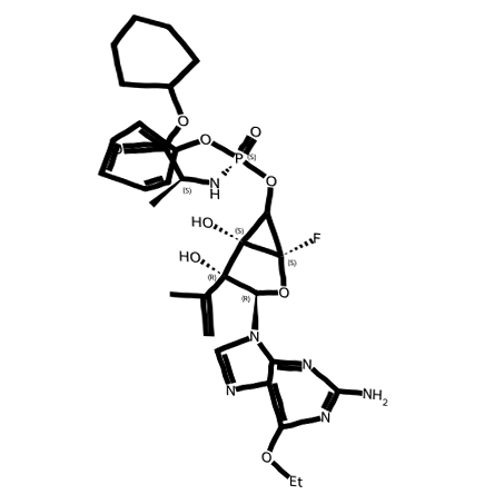 C=C(C)[C@]1(O)[C@H](n2cnc3c(OCC)nc(N)nc32)O[C@]2(F)C(O[P@@](=O)(N[C@@H](C)C(=O)OC3CCCCC3)Oc3ccccc3)[C@@]21O